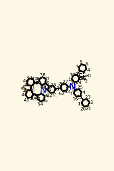 C[Si]1(C)c2ccccc2-c2ccc(N(c3ccc(-c4ccccc4)cc3)c3ccc(-c4ccc5c(c4)c4cccc6c7cccc8sc9cccc(c%10ccccc%10n5c64)c9c87)cc3)cc21